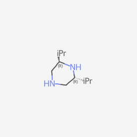 CC(C)[C@@H]1CNC[C@@H](C(C)C)N1